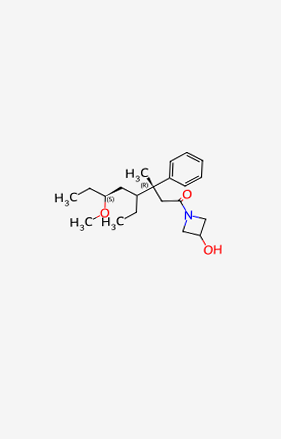 CCC(C[C@H](CC)OC)[C@@](C)(CC(=O)N1CC(O)C1)c1ccccc1